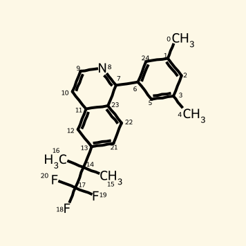 Cc1cc(C)cc(-c2nccc3cc(C(C)(C)C(F)(F)F)ccc23)c1